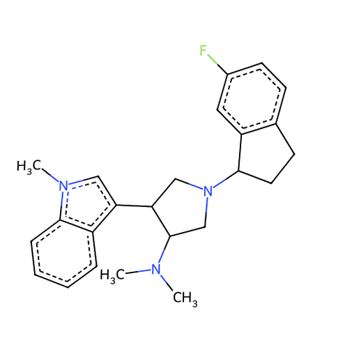 CN(C)C1CN(C2CCc3ccc(F)cc32)CC1c1cn(C)c2ccccc12